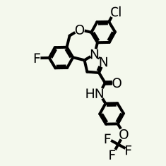 O=C(Nc1ccc(OC(F)(F)F)cc1)C1=NN2c3ccc(Cl)cc3OCc3cc(F)ccc3C2C1